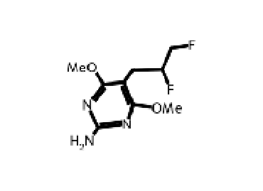 COc1nc(N)nc(OC)c1CC(F)CF